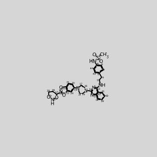 CS(=O)(=O)Nc1ccc(CCNc2nc(N3CCN(c4ccc5c(c4)ON(C4CCONO4)O5)CC3)nc3ccccc23)cc1